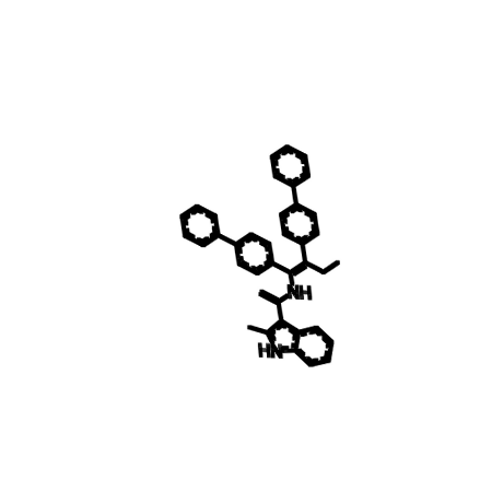 C=C(N/C(=C(\CC)c1ccc(-c2ccccc2)cc1)c1ccc(-c2ccccc2)cc1)c1c(C)[nH]c2ccccc12